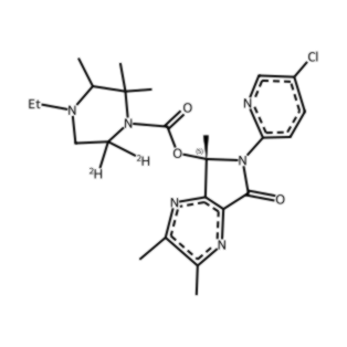 [2H]C1([2H])CN(CC)C(C)C(C)(C)N1C(=O)O[C@@]1(C)c2nc(C)c(C)nc2C(=O)N1c1ccc(Cl)cn1